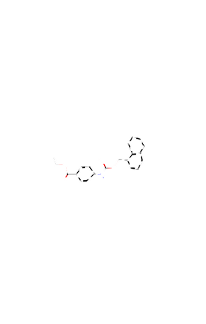 CCOC(=O)c1ccc(NC(=O)OCc2cccc3ccccc23)cc1